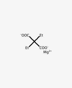 CCC(CC)(C(=O)[O-])C(=O)[O-].[Mg+2]